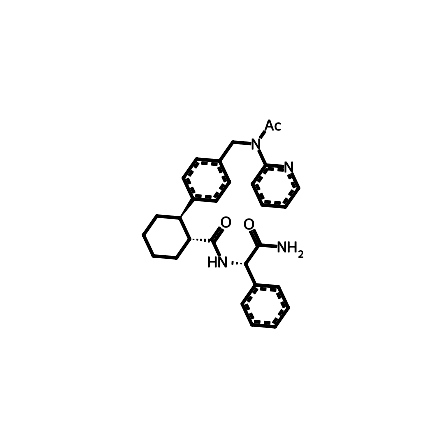 CC(=O)N(Cc1ccc([C@@H]2CCCC[C@H]2C(=O)N[C@H](C(N)=O)c2ccccc2)cc1)c1ccccn1